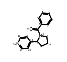 O=C(c1ccccc1)N1CCCC1c1ccncc1